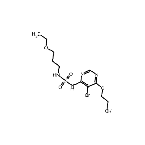 CCOCCCNS(=O)(=O)Nc1ncnc(OCCO)c1Br